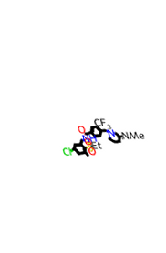 CCS(=O)(=O)c1c(C)cc(Cl)cc1CNC(=O)c1ccc(CN2CCC[C@H](NC)C2)c(C(F)(F)F)c1